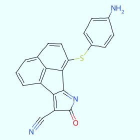 N#CC1=C2C(=NC1=O)c1c(Sc3ccc(N)cc3)ccc3cccc2c13